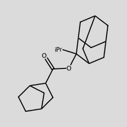 CC(C)C1(OC(=O)C2CC3CCC2C3)C2CC3CC(C2)CC1C3